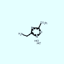 CCOC(=O)c1nc(CN)no1.Cl.Cl